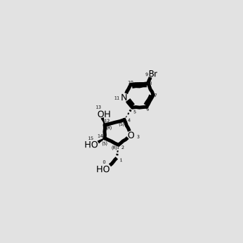 OC[C@H]1O[C@@H](c2ccc(Br)cn2)[C@H](O)[C@@H]1O